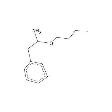 CCCCOC(N)Cc1c[c]ccc1